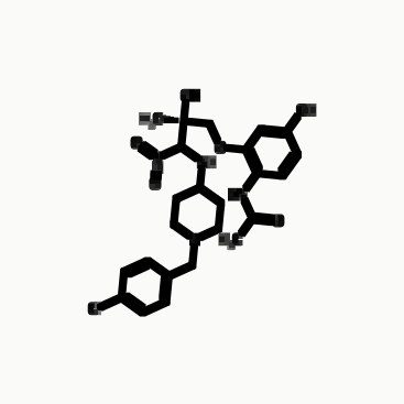 CC(=O)Nc1ccc(O)cc1OC[C@](C)(O)C(NC1CCN(Cc2ccc(Cl)cc2)CC1)[SH](=O)=O